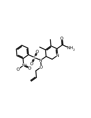 C=CCON(C1CN=C(C(N)=O)C(C)=C1C)S(=O)(=O)c1ccccc1[N+](=O)[O-]